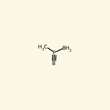 B#P(B)C